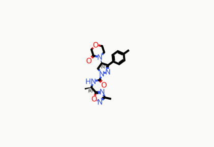 Cc1ccc(C2=NN(C(=O)N[C@H](C)c3nc(C)no3)C[C@@H]2N2CCOCC2=O)cc1